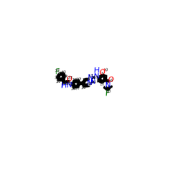 COc1cc(C(=O)N2CC(F)C2)ccc1Nc1nc2cc(-c3ccc(NC(=O)Cc4ccc(F)cc4)cc3)ccn2n1